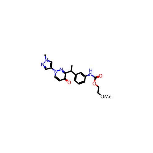 COCCOC(=O)Nc1cccc(C(C)c2nn(-c3cnn(C)c3)ccc2=O)c1